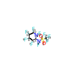 O=S(=O)(N(F)C1C(F)=C(F)C(F)=C(F)N1F)C(F)(F)F